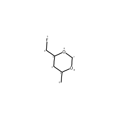 CC1CC(CF)OCO1